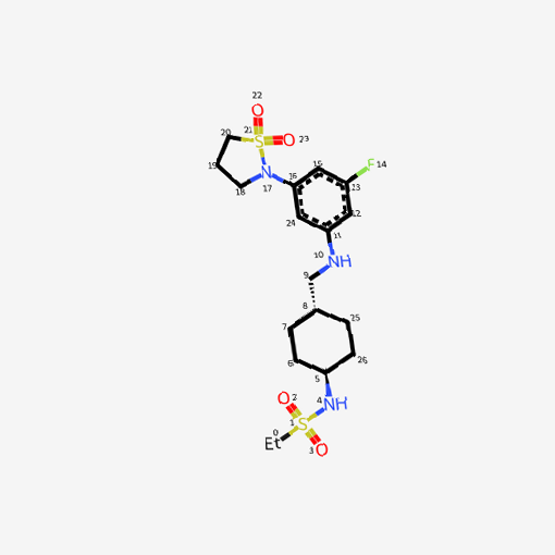 CCS(=O)(=O)N[C@H]1CC[C@H](CNc2cc(F)cc(N3CCCS3(=O)=O)c2)CC1